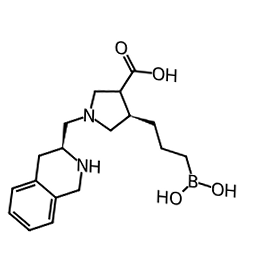 O=C(O)C1CN(C[C@@H]2Cc3ccccc3CN2)C[C@@H]1CCCB(O)O